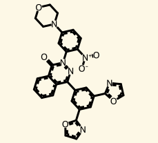 O=c1c2ccccc2c(-c2cc(-c3ncco3)cc(-c3ncco3)c2)nn1-c1cc(N2CCOCC2)ccc1[N+](=O)[O-]